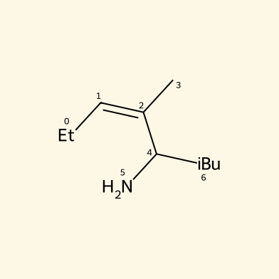 CCC=C(C)C(N)C(C)CC